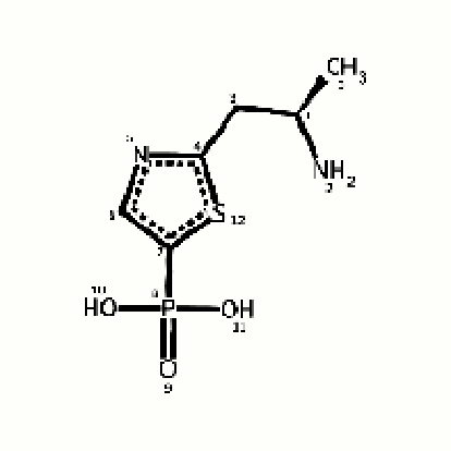 C[C@@H](N)Cc1ncc(P(=O)(O)O)s1